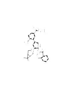 CN(C(=O)c1c(F)cccc1Cl)c1ncc(-c2cc(C(N)=O)ccc2Cl)cc1N1CC2C(C1)C2(C)C